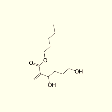 C=C(C(=O)OCCCCC)C(O)CCCO